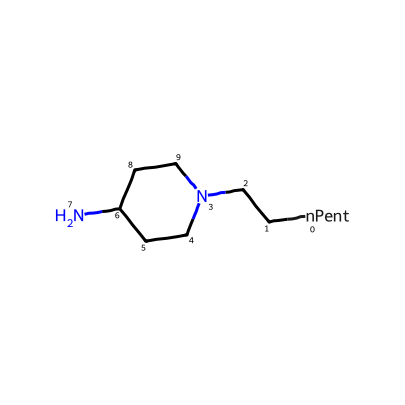 CCCCCCCN1CCC(N)CC1